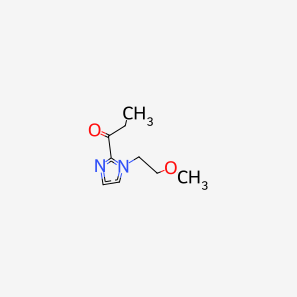 CCC(=O)c1nccn1CCOC